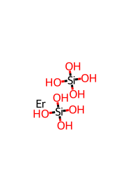 O[Si](O)(O)O.O[Si](O)(O)O.[Er]